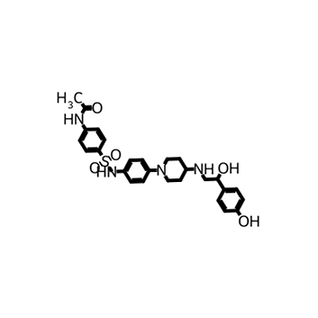 CC(=O)Nc1ccc(S(=O)(=O)Nc2ccc(N3CCC(NCC(O)c4ccc(O)cc4)CC3)cc2)cc1